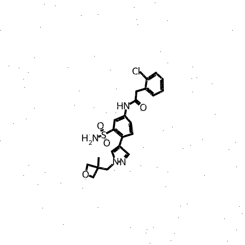 CC1(Cn2cc(-c3ccc(NC(=O)Cc4ccccc4Cl)cc3S(N)(=O)=O)cn2)COC1